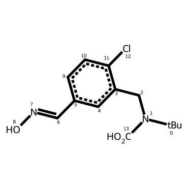 CC(C)(C)N(Cc1cc(C=NO)ccc1Cl)C(=O)O